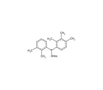 CCCCCCP(c1cccc(C)c1C)c1ccc(C)c(C)c1C